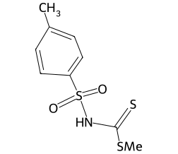 CSC(=S)NS(=O)(=O)c1ccc(C)cc1